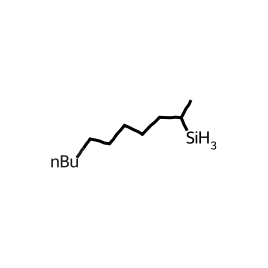 CCCCCCCCCC(C)[SiH3]